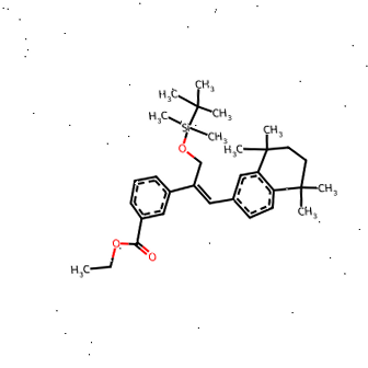 CCOC(=O)c1cccc(C(=Cc2ccc3c(c2)C(C)(C)CCC3(C)C)CO[Si](C)(C)C(C)(C)C)c1